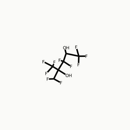 OC(C(F)(F)F)C(F)(F)C(O)(C(F)F)C(F)(F)F